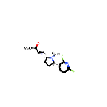 COC(=O)/C=C/[C@H]1CC[C@@H](c2ccc(F)nc2F)N1C(=O)O